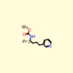 CC(C)[C@@H](CCCc1cccnc1)NC(=O)OC(C)(C)C